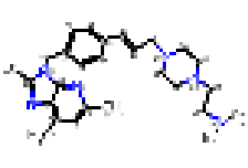 CCc1nc2c(C)cc(C)nc2n1Cc1ccc(C=CCN2CCN(CCN(CC)CC)CC2)cc1